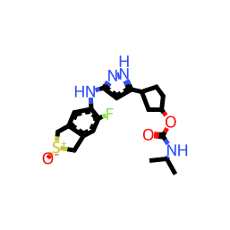 CC(C)NC(=O)OC1CCC(c2cc(Nc3cc4c(cc3F)C[S+]([O-])C4)n[nH]2)C1